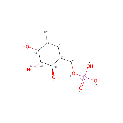 C[C@@H]1CC(COP(=O)(O)O)[C@@H](O)[C@H](O)C1O